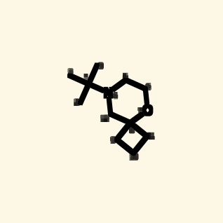 CC(C)(C)N1CCOC2(CCC2)C1